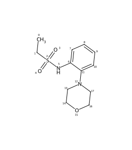 CCS(=O)(=O)Nc1ccccc1N1CCOCC1